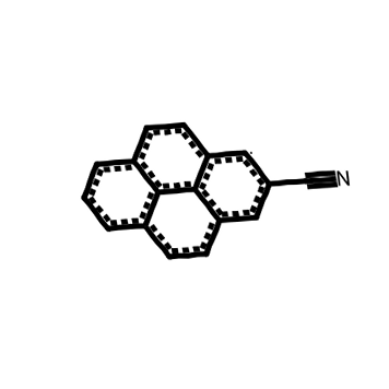 N#Cc1[c]c2ccc3cccc4ccc(c1)c2c34